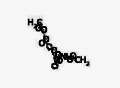 C=CC(=O)OCCCOC(=O)c1ccc(OCC(COc2ccccc2)OC(=O)NCCOC(=O)C=C)cc1